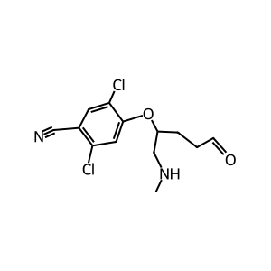 CNCC(CCC=O)Oc1cc(Cl)c(C#N)cc1Cl